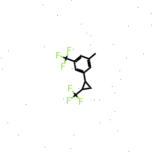 Cc1cc(C2CC2C(F)(F)F)cc(C(F)(F)F)c1